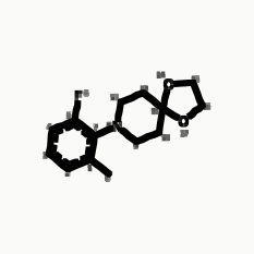 Cc1cccc(F)c1N1CCC2(CC1)OCCO2